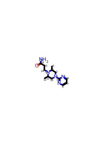 CC1CN(c2ncccn2)CC(C)N1CCC(N)=O